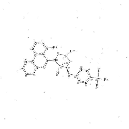 O=C(c1c(F)cccc1-c1ncccn1)N1C[C@H]2C[C@@H](Oc3cnc(C(F)(F)F)cn3)[C@@H]1C2